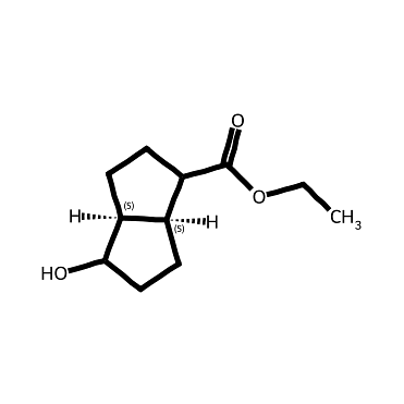 CCOC(=O)C1CC[C@@H]2C(O)CC[C@H]12